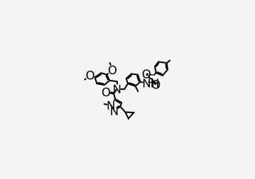 COc1ccc(CN(Cc2cccc(NS(=O)(=O)c3ccc(C)cc3)c2C)C(=O)c2cc(C3CC3)nn2C)c(OC)c1